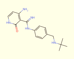 CC(C)(C)NCc1ccc(NC(=N)c2c(N)cc[nH]c2=O)cc1